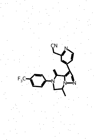 C=C1c2c(-c3ccnc(CC#N)c3)cnn2C(C)CN1c1ccc(C(F)(F)F)cc1